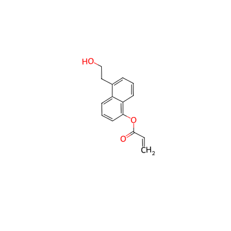 C=CC(=O)Oc1cccc2c(CCO)cccc12